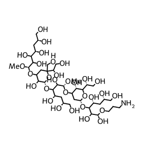 CO[C@H](OC1CC(CO)([C@H](O)CO)O[C@H](OC(C(O)[C@H](OC)OC2C[C@@H](OC(C(O)[C@H](O)OCCCN)[C@H](O)C[C@H](O)CO)OC([C@H](O)CO)[C@H]2O)[C@H](O)C[C@H](O)CO)C1O)C(O)C(O)[C@H](O)C[C@H](O)CO